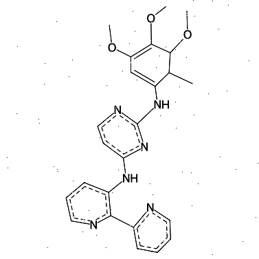 COC1=C(OC)C(OC)C(C)C(Nc2nccc(Nc3cccnc3-c3ccccn3)n2)=C1